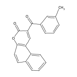 Cc1cccc(C(=O)c2cc3c(ccc4ccccc43)oc2=O)c1